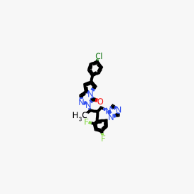 CC(C(Cn1cncn1)c1ccc(F)cc1F)n1ncc2cc(-c3ccc(Cl)cc3)cn2c1=O